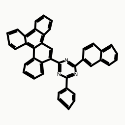 c1ccc(-c2nc(-c3ccc4ccccc4c3)nc(-c3cc4c5ccccc5c5ccccc5c4c4ccccc34)n2)cc1